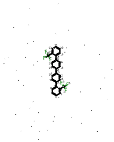 FC(F)(F)c1ccccc1-c1ccc(-c2ccc(-c3ccccc3C(F)(F)F)cc2)cc1